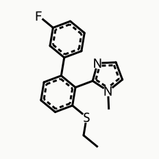 CCSc1cccc(-c2cccc(F)c2)c1-c1nccn1C